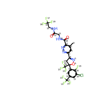 Cc1cc(C2=NOC(c3cc(C(F)(F)F)cc(Cl)c3F)(C(F)(F)F)C2)nnc1C(=O)NCC(=O)NCC(F)(F)F